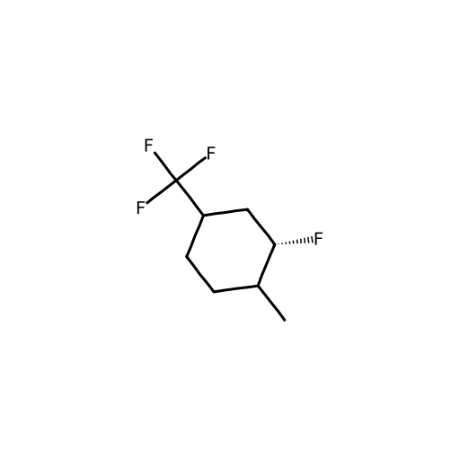 CC1CCC(C(F)(F)F)C[C@@H]1F